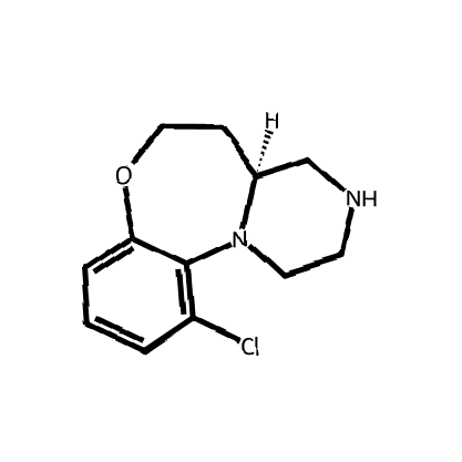 Clc1cccc2c1N1CCNC[C@@H]1CCO2